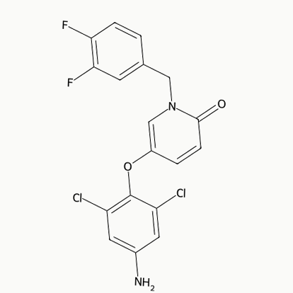 Nc1cc(Cl)c(Oc2ccc(=O)n(Cc3ccc(F)c(F)c3)c2)c(Cl)c1